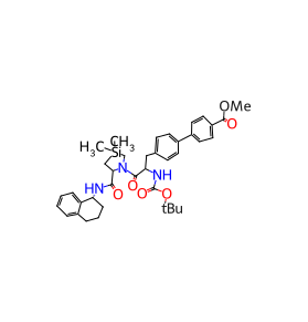 COC(=O)c1ccc(-c2ccc(CC(NC(=O)OC(C)(C)C)C(=O)N3C[Si](C)(C)CC3C(=O)N[C@@H]3CCCc4ccccc43)cc2)cc1